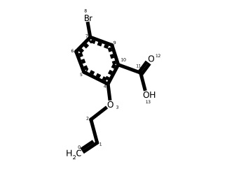 C=CCOc1ccc(Br)cc1C(=O)O